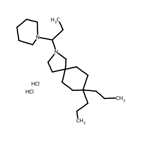 CCCC1(CCC)CCC2(CCN(C(CC)N3CCCCC3)C2)CC1.Cl.Cl